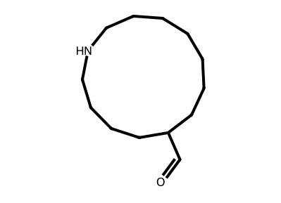 O=CC1CCCCCCCNCCCC1